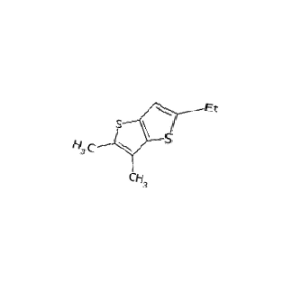 CCc1cc2sc(C)c(C)c2s1